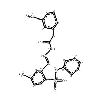 COc1cccc(CC(=O)NN=Cc2cc(C(F)(F)F)ccc2S(=O)(=O)Oc2cccnc2)c1